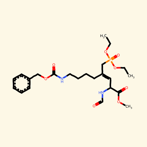 CCOP(=O)(CC(=CC(NC=O)C(=O)OC)CCCCNC(=O)OCc1ccccc1)OCC